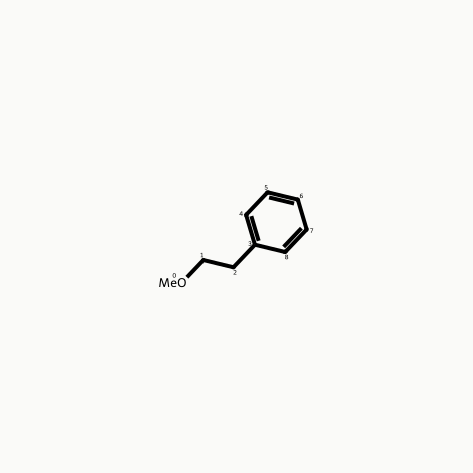 CO[CH]Cc1ccccc1